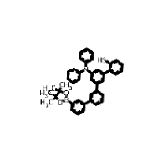 CC1(C)OB(c2cccc(-c3cccc(-c4cc(-c5ccccc5S)cc(N(c5ccccc5)c5ccccc5)c4)c3)c2)OC1(C)C